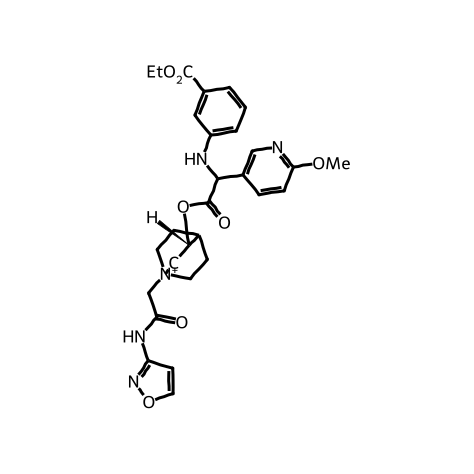 CCOC(=O)c1cccc(NC(C(=O)O[C@H]2C[N+]3(CC(=O)Nc4ccon4)CCC2CC3)c2ccc(OC)nc2)c1